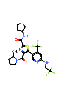 CC1CCCN1C(=O)c1nc(C(=O)NC2CCOC2)sc1-c1cnc(NCC(F)(F)F)cc1C(F)(F)F